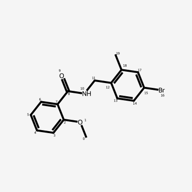 COc1ccccc1C(=O)NCc1ccc(Br)cc1C